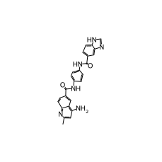 Cc1cc(N)c2cc(C(=O)Nc3ccc(NC(=O)c4ccc5[nH]cnc5c4)cc3)ccc2n1